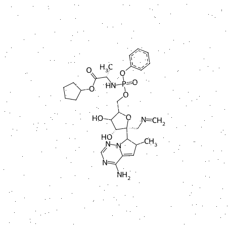 C=NC[C@@]1(C2C(C)C=C3C(N)=NC=NN32)OC(COP(=O)(N[C@@H](C)C(=O)OC2CCCC2)Oc2ccccc2)C(O)[C@H]1O